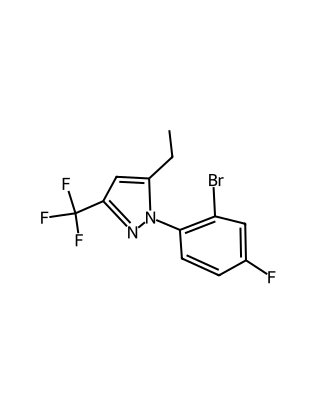 CCc1cc(C(F)(F)F)nn1-c1ccc(F)cc1Br